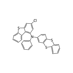 Clc1cc(N(c2ccccc2)c2ccc3c(c2)Sc2ccccc2S3)c2c(c1)sc1ccccc12